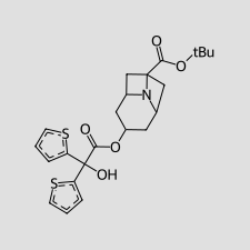 CC(C)(C)OC(=O)C12CC3CC(OC(=O)C(O)(c4cccs4)c4cccs4)CC(C1)N32